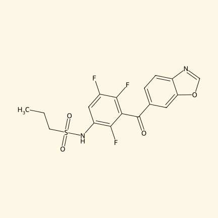 CCCS(=O)(=O)Nc1cc(F)c(F)c(C(=O)c2ccc3ncoc3c2)c1F